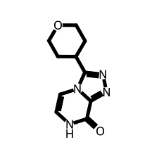 O=c1[nH]ccn2c(C3CCOCC3)nnc12